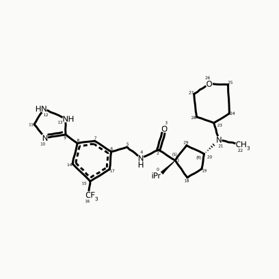 CC(C)[C@]1(C(=O)NCc2cc(C3=NCNN3)cc(C(F)(F)F)c2)CC[C@@H](N(C)C2CCOCC2)C1